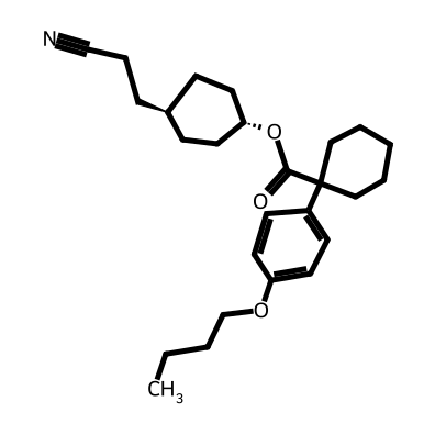 CCCCOc1ccc(C2(C(=O)O[C@H]3CC[C@H](CCC#N)CC3)CCCCC2)cc1